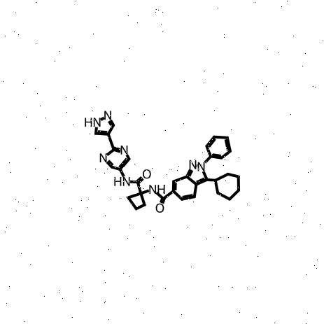 O=C(NC1(C(=O)Nc2cnc(-c3cn[nH]c3)nc2)CCC1)c1ccc2c(C3CCCCC3)n(-c3ccccc3)nc2c1